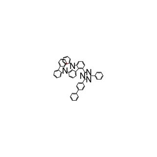 c1ccc(-c2ccc(-c3nc(-c4ccccc4)nc(-c4cccc5c4c4cccc(-n6c7ccccc7c7ccccc76)c4n5-c4ccccc4)n3)cc2)cc1